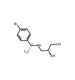 CCC[C@H](CO)CN[C@@H](c1ccc(Br)cc1)C(F)(F)F